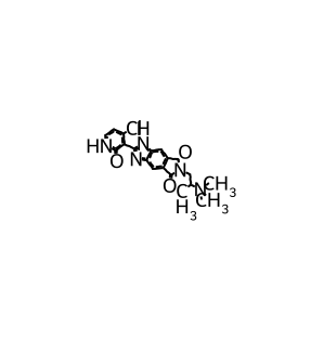 CC(CN1C(=O)c2cc3nc(-c4c(Cl)cc[nH]c4=O)[nH]c3cc2C1=O)N(C)C